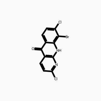 O=c1c2ccc(Cl)nc2[nH]c2c(Br)c(Cl)ccc12